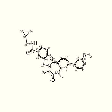 C[C@@H]1C(=O)N(C)c2cc(-c3ccnc(N)c3)ccc2C(=O)N1Cc1cccc(C(=O)NCC2CC2)c1